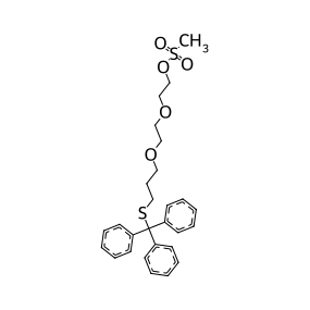 CS(=O)(=O)OCCOCCOCCCSC(c1ccccc1)(c1ccccc1)c1ccccc1